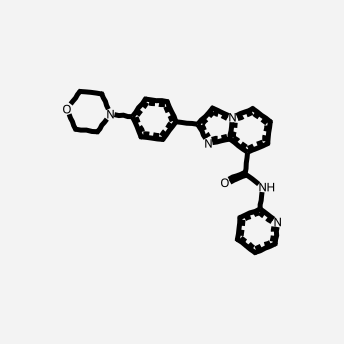 O=C(Nc1ccccn1)c1cccn2cc(-c3ccc(N4CCOCC4)cc3)nc12